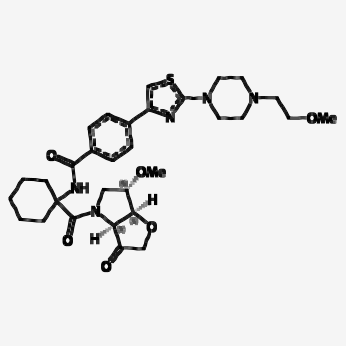 COCCN1CCN(c2nc(-c3ccc(C(=O)NC4(C(=O)N5C[C@H](OC)[C@H]6OCC(=O)[C@H]65)CCCCC4)cc3)cs2)CC1